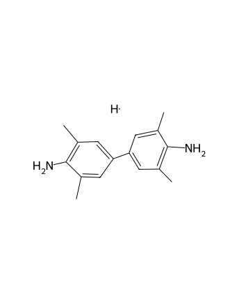 Cc1cc(-c2cc(C)c(N)c(C)c2)cc(C)c1N.[H]